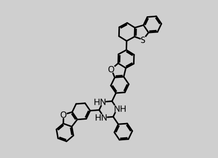 C1=Cc2c(sc3ccccc23)C(c2ccc3c(c2)oc2cc(C4NC(C5=Cc6c(oc7ccccc67)CC5)NC(c5ccccc5)N4)ccc23)C1